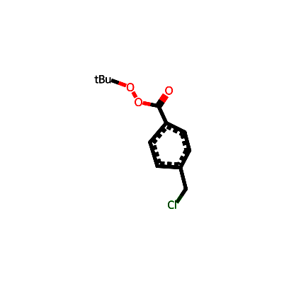 CC(C)(C)OOC(=O)c1ccc(CCl)cc1